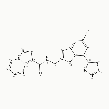 O=C(NCc1cc2cc(Cl)cc(-c3nnn[nH]3)c2o1)c1cnn2cccnc12